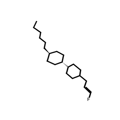 CCCCCC[C@H]1CC[C@H](C2CCC(C/C=C/F)CC2)CC1